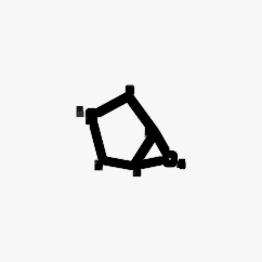 C1SCC2OC12